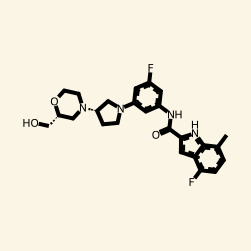 Cc1ccc(F)c2cc(C(=O)Nc3cc(F)cc(N4CC[C@H](N5CCO[C@@H](CO)C5)C4)c3)[nH]c12